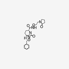 O=C(NOCCN1CCCC1=O)[C@@H]1CC[C@@H]2CN1C(=O)N2OCc1ccccc1